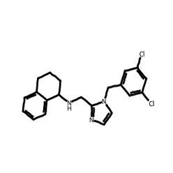 Clc1cc(Cl)cc(Cn2ccnc2CNC2CCCc3ccccc32)c1